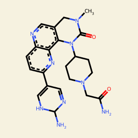 CN1Cc2cnc3ccc(C4=CNC(N)N=C4)nc3c2N(C2CCN(CC(N)=O)CC2)C1=O